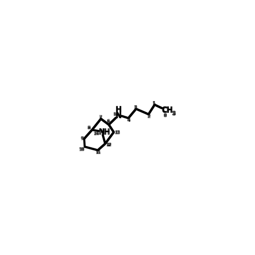 CCCCCNC1CC2CCCC(C1)N2